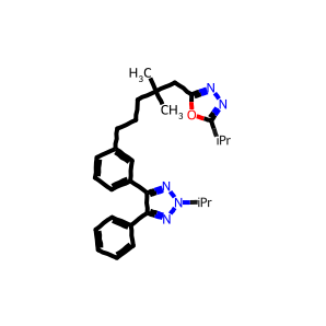 CC(C)c1nnc(CC(C)(C)CCCc2cccc(-c3nn(C(C)C)nc3-c3ccccc3)c2)o1